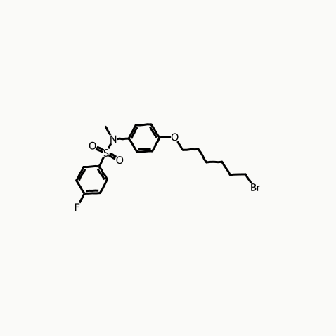 CN(c1ccc(OCCCCCCBr)cc1)S(=O)(=O)c1ccc(F)cc1